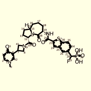 Cn1ccc(=O)c(C2CN(C(=O)[C@@H]3CC[C@@H]4CCC[C@H](NC(=O)c5cc6cc(C(F)P(=O)(O)O)ccc6s5)C(=O)N43)C2)c1